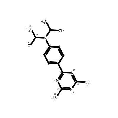 CC(Cl)N(c1ccc(-c2nc(C(Cl)(Cl)Cl)nc(C(Cl)(Cl)Cl)n2)cc1)C(C)Cl